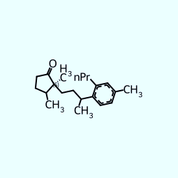 CCCc1cc(C)ccc1C(C)CC[C@]1(C)C(=O)CCC1C